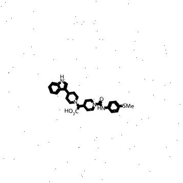 CSc1ccc(NC(=O)N2CCC(C(C(=O)O)N3CCC(c4c[nH]c5ccccc45)CC3)CC2)cc1